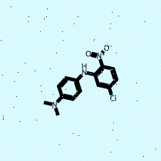 CN(C)c1ccc(Nc2cc(Cl)ccc2[N+](=O)[O-])cc1